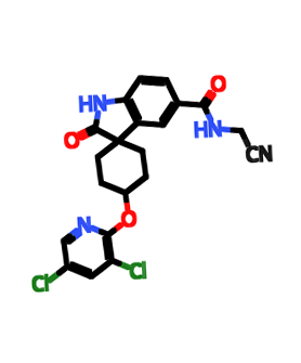 N#CCNC(=O)c1ccc2c(c1)C1(CCC(Oc3ncc(Cl)cc3Cl)CC1)C(=O)N2